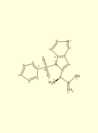 C=C(O)[C@@H](N)c1cc2cnccc2n1S(=O)(=O)c1ccccc1